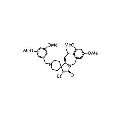 CCN1C(=O)N2Cc3cc(OC)cc(OC)c3C(C)C=C2C12CCN(Cc1cc(OC)cc(OC)c1)CC2